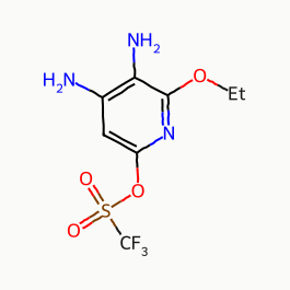 CCOc1nc(OS(=O)(=O)C(F)(F)F)cc(N)c1N